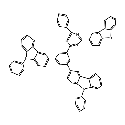 c1ccc(-c2nc(-c3cc(-c4ccc5c(c4)c4ccccc4n5-c4ccccc4)cc(-c4ccc5c(c4)c4ccccc4n5-c4ccccc4)c3)nc(-c3ccc4oc5ccccc5c4c3)n2)cc1